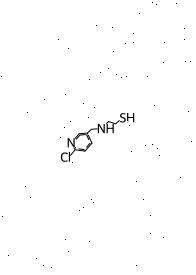 SCCNCc1ccc(Cl)nc1